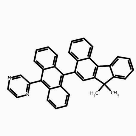 CC1(C)c2ccccc2-c2c1cc(-c1c3ccccc3c(-c3cnccn3)c3ccccc13)c1ccccc21